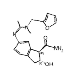 CC(=Nc1ccc2c(c1)[C@@H](C(N)=O)[C@H](O)C2)N(C)Cc1ccco1